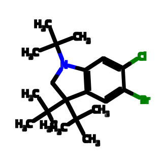 CC(C)(C)N1CC(C(C)(C)C)(C(C)(C)C)c2cc(Br)c(Cl)cc21